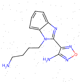 NCCCCn1c(-c2nonc2N)nc2ccccc21